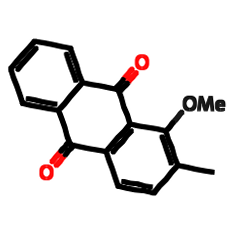 COc1c(C)ccc2c1C(=O)c1ccccc1C2=O